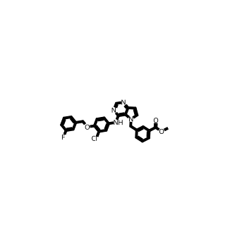 COC(=O)c1cccc(Cn2ccc3ncnc(Nc4ccc(OCc5cccc(F)c5)c(Cl)c4)c32)c1